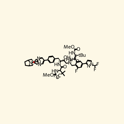 COC(=O)NC(C(=O)N[C@@H](Cc1ccc(-c2cnc(N3CC4CCC(C3)N4C3COC3)nc2)cc1)[C@@H](O)CN(Cc1c(F)cc(-c2ccn(C(F)F)n2)cc1F)NC(=O)[C@@H](NC(=O)OC)C(C)(C)C)C(C)(C)C(F)(F)F